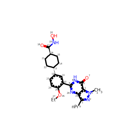 CCCc1nn(C)c2c(=O)[nH]c(-c3cc([C@H]4CC[C@H](C(=O)NO)CC4)ccc3OCC)nc12